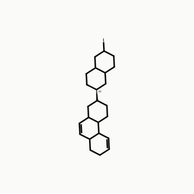 IC1CCC2C[C@@H](C3CCC4C(C=CC5CCC=CC54)C3)CCC2C1